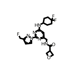 O=C(NCc1cc(NC2CCC(F)(F)CC2)nc(-n2ccc(CF)n2)n1)C1COC1